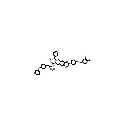 CC[C@@H](c1ccccc1)N1Cc2cc3c(cc2C[C@H]1C(=O)NC(Cc1ccc(Oc2cccnc2)cc1)C(=O)O)OC[C@H](c1ccc(OCc2ccc(Cl)c(Cl)c2)cc1)O3